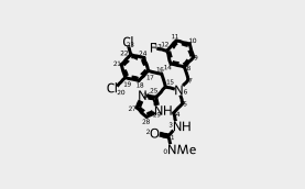 CNC(=O)NCCN(Cc1cccc(F)c1)C(Cc1cc(Cl)cc(Cl)c1)c1ncc[nH]1